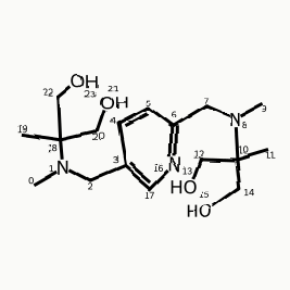 CN(Cc1ccc(CN(C)C(C)(CO)CO)nc1)C(C)(CO)CO